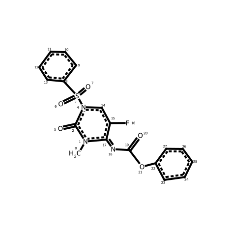 Cn1c(=O)n(S(=O)(=O)c2ccccc2)cc(F)/c1=N\C(=O)Oc1ccccc1